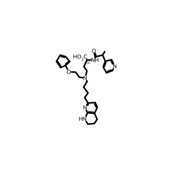 CC(C(=O)N[C@@H](CCN(CCCCc1ccc2c(n1)NCCC2)CCOc1ccccc1)C(=O)O)c1cccnc1